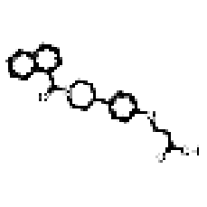 O=C(O)CCOc1ccc(C2CCN(C(=O)c3cccc4ccccc34)CC2)cc1